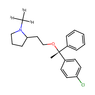 [2H]C([2H])([2H])N1CCCC1CCO[C@](C)(c1ccccc1)c1ccc(Cl)cc1